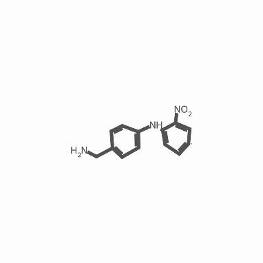 NCc1ccc(Nc2cc[c]cc2[N+](=O)[O-])cc1